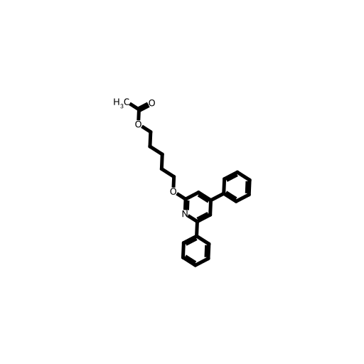 CC(=O)OCCCCCOc1cc(-c2ccccc2)cc(-c2ccccc2)n1